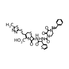 Cc1nnc(SCC2=C(C(=O)O)N3C(=O)[C@@H](NC(=O)C(NC(=O)N4CCN(N=Cc5ccccc5)C(=O)C4=O)c4cccs4)C3SC2)s1